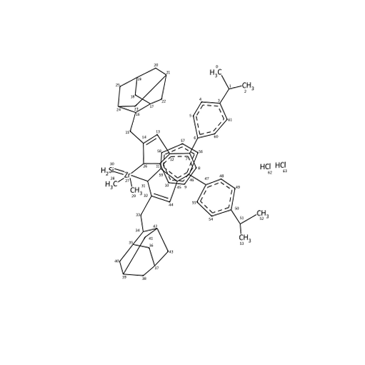 CC(C)c1ccc(-c2cccc3c2C=C(CC2C4CC5CC(C4)CC2C5)[CH]3[Zr]([CH3])([CH3])(=[SiH2])[CH]2C(CC3C4CC5CC(C4)CC3C5)=Cc3c(-c4ccc(C(C)C)cc4)cccc32)cc1.Cl.Cl